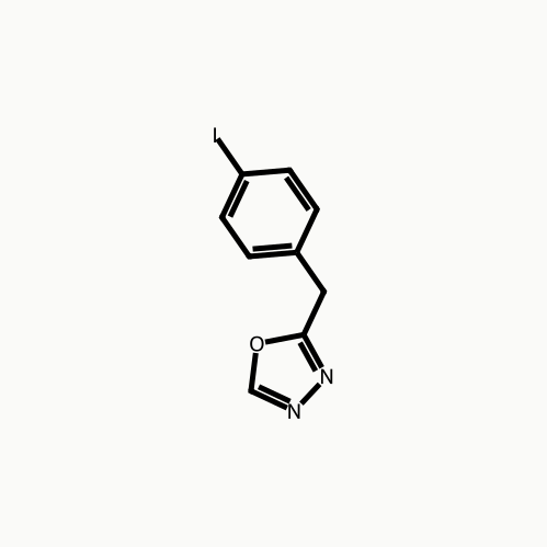 Ic1ccc(Cc2nnco2)cc1